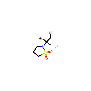 CC(C)C[C@](C(=O)O)(N1CCCS1(=O)=O)C(C)(C)C